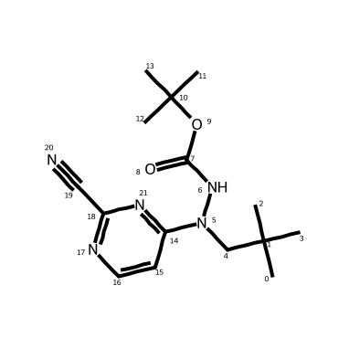 CC(C)(C)CN(NC(=O)OC(C)(C)C)c1ccnc(C#N)n1